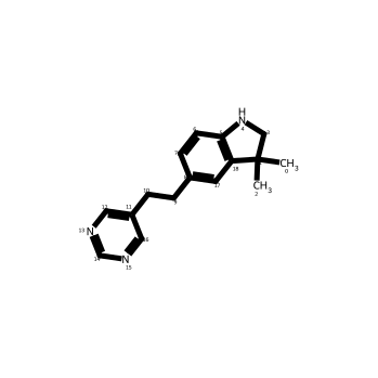 CC1(C)CNc2ccc(CCc3cncnc3)cc21